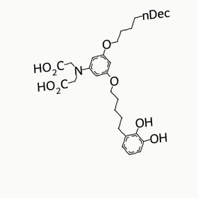 CCCCCCCCCCCCCCOc1cc(OCCCCCc2cccc(O)c2O)cc(N(CC(=O)O)CC(=O)O)c1